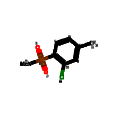 [CH2-][NH2+]S(=O)(=O)c1ccc(C(F)(F)F)cc1Cl